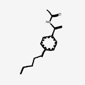 C=C(NC(C)=O)c1ccc(CCCCC)cc1